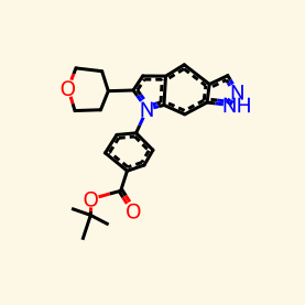 CC(C)(C)OC(=O)c1ccc(-n2c(C3CCOCC3)cc3cc4cn[nH]c4cc32)cc1